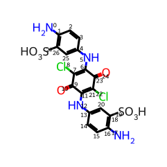 Nc1ccc(NC2=C(Cl)C(=O)C(Nc3ccc(N)c(S(=O)(=O)O)c3)=C(Cl)C2=O)cc1S(=O)(=O)O